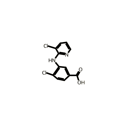 O=C(O)c1ccc(Cl)c(Nc2ncccc2Cl)c1